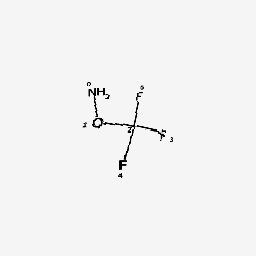 NOC(F)(F)F